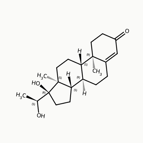 C[C@H](O)[C@@]1(O)CC[C@H]2[C@@H]3CCC4=CC(=O)CC[C@]4(C)[C@H]3CC[C@@]21C